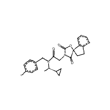 CC(C1CC1)N(Cc1ccc(F)cc1)C(=O)CN1C(=O)OC2(CCc3ccccc32)C1=O